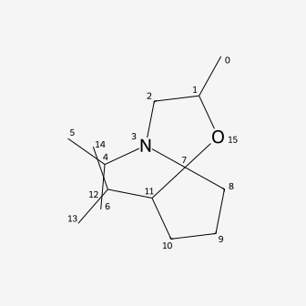 CC1CN(C(C)C)C2(CCCC2C(C)C)O1